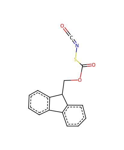 O=C=NSC(=O)OCC1c2ccccc2-c2ccccc21